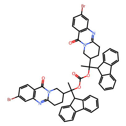 CC(OC(=O)OC(C)(C1CCc2nc3cc(Br)ccc3c(=O)n2C1)C1c2ccccc2-c2ccccc21)(C1CCc2nc3cc(Br)ccc3c(=O)n2C1)C1c2ccccc2-c2ccccc21